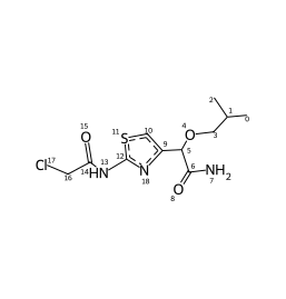 CC(C)COC(C(N)=O)c1csc(NC(=O)CCl)n1